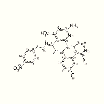 Cc1nc(N)nc2c1C(=NOCc1ccc([N+](=O)[O-])cc1)CC(c1ccc(F)cc1-c1cccnc1F)C2